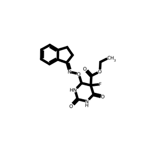 CCOC(=O)C1(F)C(=O)NC(=O)NC1ON=C1CCc2ccccc21